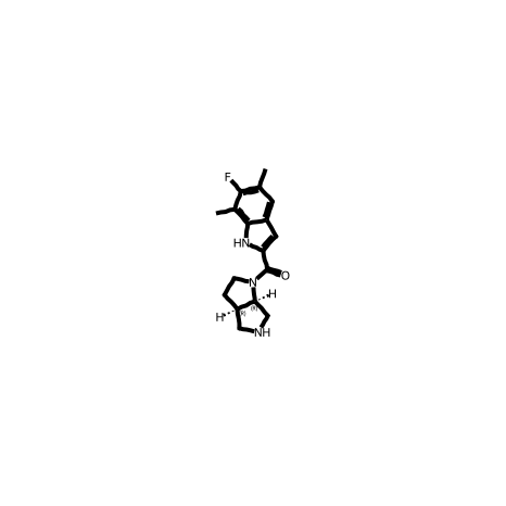 Cc1cc2cc(C(=O)N3CC[C@@H]4CNC[C@@H]43)[nH]c2c(C)c1F